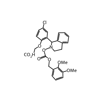 COc1cccc(COC(=O)ON2CCc3ccccc3C2c2cc(Cl)ccc2OCC(=O)O)c1OC